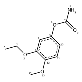 CCOc1cc(OC(N)=O)ccc1OC